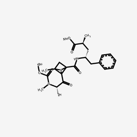 COC(=O)[C@@H](C)C[C@H](Cc1ccccc1)NC(=O)C12CC(C)(C1)N2C(=O)[C@H](C(C)C)N(C)C(=O)OC(C)(C)C